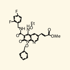 CCONc1c(C(=O)NCc2ccc(F)cc2F)c(=O)n(OCc2ccccc2)c2ncc(/C=C/C(=O)OC)cc12